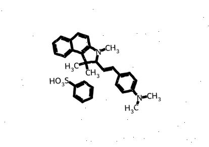 CN(C)c1ccc(/C=C/C2N(C)c3ccc4ccccc4c3C2(C)C)cc1.O=S(=O)(O)c1ccccc1